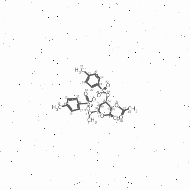 C=C1O[C@@H](OC)[C@H](OS(=O)(=O)c2ccc(C)cc2)[C@@H](OS(=O)(=O)c2ccc(C)cc2)[C@@H]1OC(C)=O